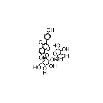 O=c1c(-c2ccc(O)cc2)coc2c(O[C@@H]3O[C@H](CO)[C@@H](O)[C@H](O)[C@H]3O)c(O)ccc12.OC1OC[C@@H](O)[C@H](O)[C@H]1O